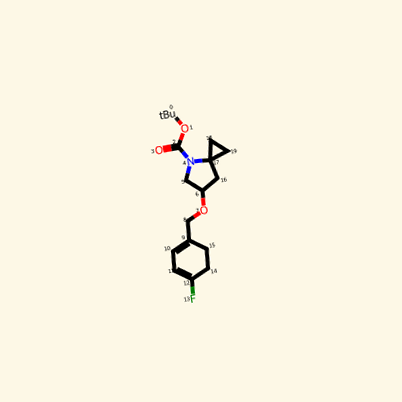 CC(C)(C)OC(=O)N1CC(OCC2=CC=C(F)CC2)CC12CC2